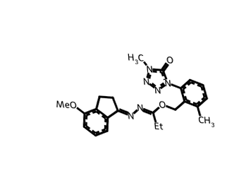 CC/C(=N\N=C1CCc2c(OC)cccc21)OCc1c(C)cccc1-n1nnn(C)c1=O